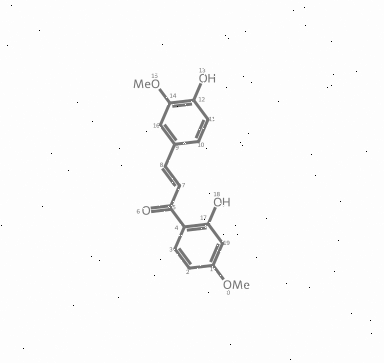 COc1ccc(C(=O)C=Cc2ccc(O)c(OC)c2)c(O)c1